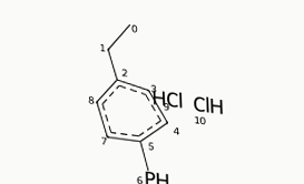 CCc1ccc(P)cc1.Cl.Cl